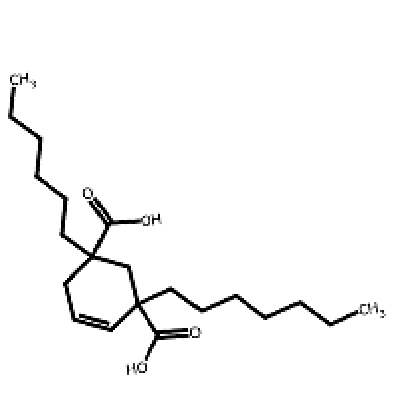 CCCCCCCC1(C(=O)O)C=CCC(CCCCCC)(C(=O)O)C1